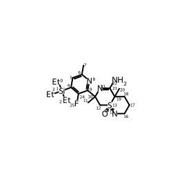 CC[Si](CC)(CC)c1cc(C)nc(C2(C)CS3(=O)=NCCCC3(C)C(N)=N2)c1F